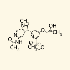 CO[C@@]1(c2cc(OC[C@@H](C)O)cc(-c3cn(C)c4cnc(NC(C)=O)cc34)n2)CCOC1